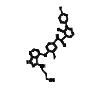 O=C(Nc1ccc(Oc2ccnc3[nH]nc(NCCCO)c23)c(F)c1)c1ccnn(-c2ccc(F)cc2)c1=O